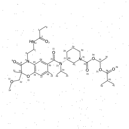 CCC(=O)NCCN1C(=O)C(C)(COC)Oc2cc(C)c(C(=O)N(C(C)C)[C@@H]3CCCN(C(=O)OC(C)OC(=O)C(C)C)C3)cc21